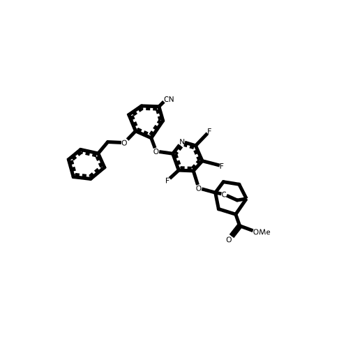 COC(=O)C1CC2(Oc3c(F)c(F)nc(Oc4cc(C#N)ccc4OCc4ccccc4)c3F)CCC1CC2